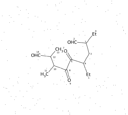 CCC(C=O)CC(CC)C(=O)C(=O)C(C)C(C)C=O